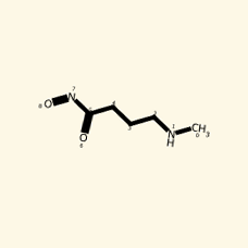 CNCCCC(=O)N=O